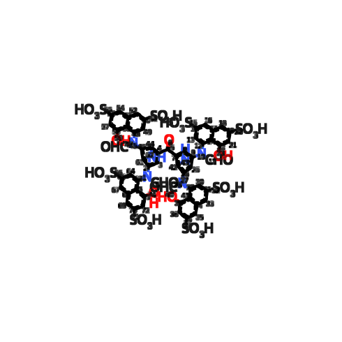 O=CN(c1cc(C(=O)c2cc(N(C=O)c3cc(S(=O)(=O)O)cc4cc(S(=O)(=O)O)cc(O)c34)c3c(N(C=O)c4cc(S(=O)(=O)O)cc5cc(S(=O)(=O)O)cc(O)c45)c2N3)c2c(N(C=O)c3cc(S(=O)(=O)O)cc4cc(S(=O)(=O)O)cc(O)c34)c1N2)c1cc(S(=O)(=O)O)cc2cc(S(=O)(=O)O)cc(O)c12